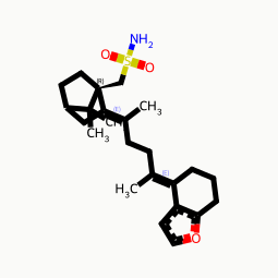 C/C(CC/C(C)=C1\CC2CC[C@@]1(CS(N)(=O)=O)C2(C)C)=C1/CCCc2occc21